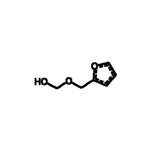 OCOCc1ccco1